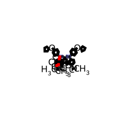 CN(C)c1ccc(/C(=C\C2(/C=C(/c3ccc(OC4CCCC4)cc3)c3ccc(N(C)C)cc3)OC(=O)c3c(Cl)c(Cl)c(Cl)c(Cl)c32)c2ccc(OC3CCCC3)cc2)cc1